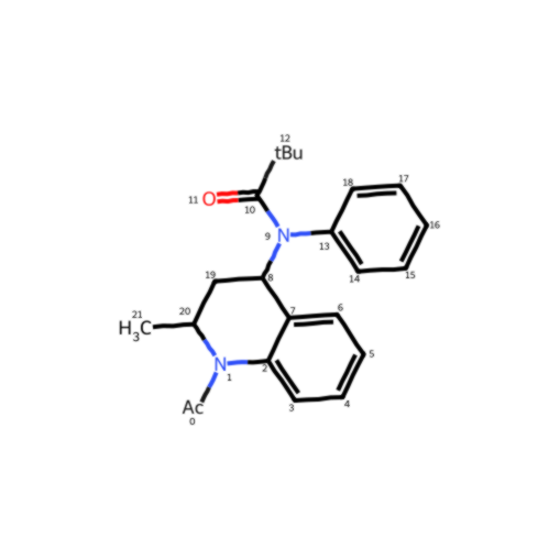 CC(=O)N1c2ccccc2C(N(C(=O)C(C)(C)C)c2ccccc2)CC1C